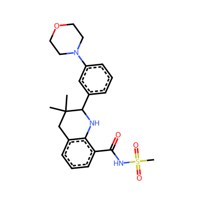 CC1(C)Cc2cccc(C(=O)NS(C)(=O)=O)c2NC1c1cccc(N2CCOCC2)c1